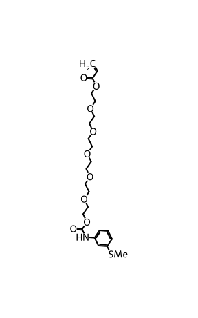 C=CC(=O)OCCOCCOCCOCCOCCOCCOC(=O)Nc1cccc(SC)c1